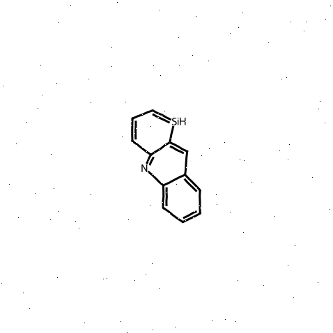 c1ccc2nc3ccc[siH]c3cc2c1